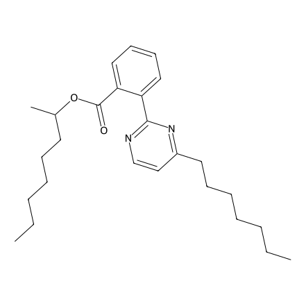 CCCCCCCc1ccnc(-c2ccccc2C(=O)OC(C)CCCCCC)n1